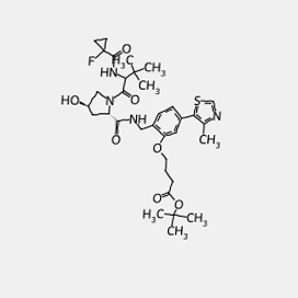 Cc1ncsc1-c1ccc(CNC(=O)[C@@H]2C[C@@H](O)CN2C(=O)C(NC(=O)C2(F)CC2)C(C)(C)C)c(OCCCC(=O)OC(C)(C)C)c1